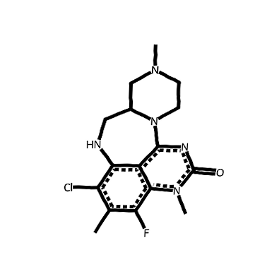 Cc1c(Cl)c2c3c(nc(=O)n(C)c3c1F)N1CCN(C)CC1CN2